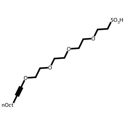 CCCCCCCCC#COCCOCCOCCOCCS(=O)(=O)O